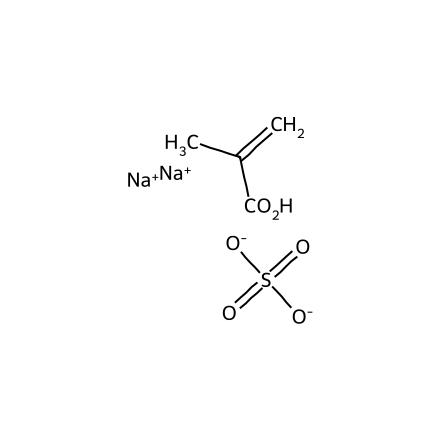 C=C(C)C(=O)O.O=S(=O)([O-])[O-].[Na+].[Na+]